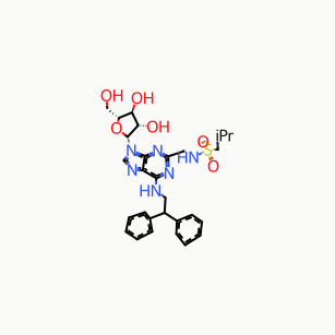 CC(C)CS(=O)(=O)NCc1nc(NCC(c2ccccc2)c2ccccc2)c2ncn([C@@H]3O[C@H](CO)[C@@H](O)[C@@H]3O)c2n1